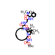 CN(C)C(=O)[C@@H](NC(=O)CNC(=O)C(=O)[C@@H]1CCCCC=CCCCC[C@H](NC(=O)OC(C)(C)C)C(=O)N2C[C@H]3[C@@H]([C@H]2C(=O)N1)C3(C)C)c1ccccc1